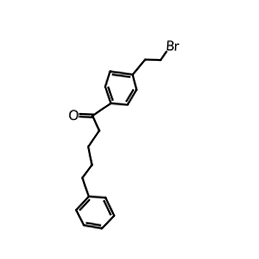 O=C(CCCCc1ccccc1)c1ccc(CCBr)cc1